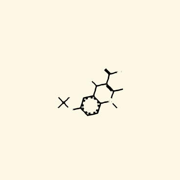 CC1=C(C(=O)O)C(O)c2cc(OC(F)(F)F)ccc2N1C